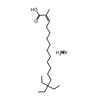 Br.CCC(CC)(CC)CCCCCCCCCCC=C(C)C(=O)O.N